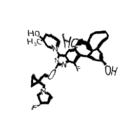 C#Cc1cccc2cc(O)cc(-c3c(F)cc4c(N5CCC[C@@](C)(O)C5)nc(OCC5(CN6CC[C@@H](F)C6)CC5)nc4c3F)c12